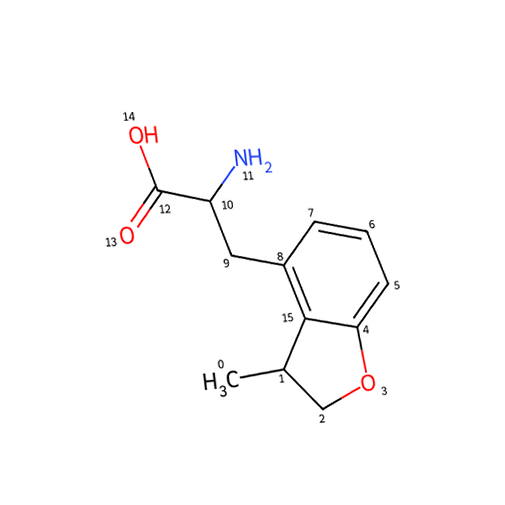 CC1COc2cccc(CC(N)C(=O)O)c21